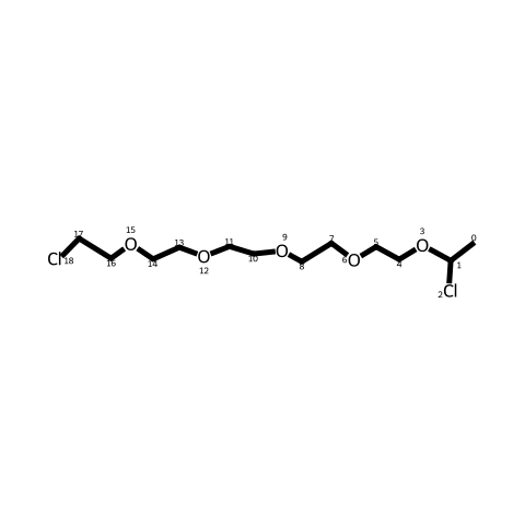 CC(Cl)OCCOCCOCCOCCOCCCl